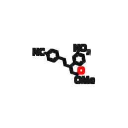 COC(=O)C=C(C=Cc1ccc(C#N)cc1)c1cccc([N+](=O)[O-])c1